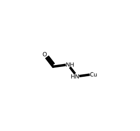 O=CN[NH][Cu]